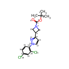 CC(C)(C)OC(=O)N1CC(c2ccn(-c3ccc(Cl)cc3Cl)n2)C1